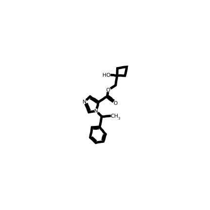 CC(c1ccccc1)n1cncc1C(=O)OCC1(O)CCC1